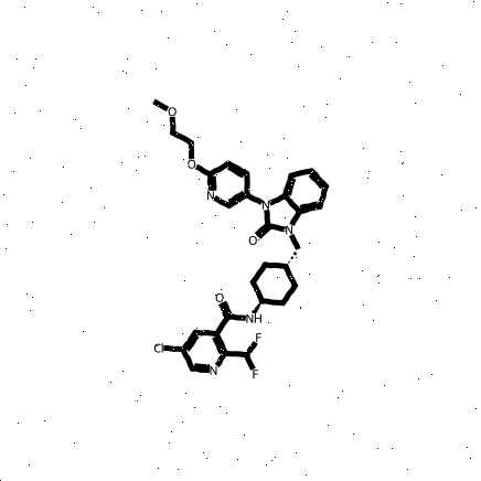 COCCOc1ccc(-n2c(=O)n(C[C@H]3CC[C@H](NC(=O)c4cc(Cl)cnc4C(F)F)CC3)c3ccccc32)cn1